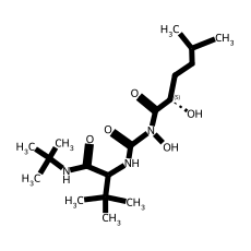 CC(C)CC[C@H](O)C(=O)N(O)C(=O)NC(C(=O)NC(C)(C)C)C(C)(C)C